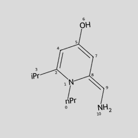 CCCN1C(C(C)C)=CC(O)=C/C1=C/N